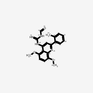 COc1ccc(OC)c2c(NC(=N)NC=O)cc(-c3ccccc3C)nc12